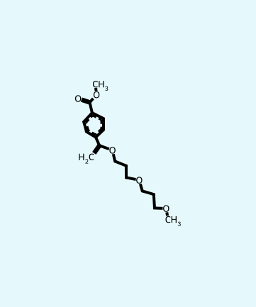 C=C(OCCCOCCCOC)c1ccc(C(=O)OC)cc1